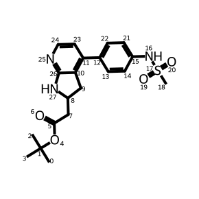 CC(C)(C)OC(=O)CC1Cc2c(-c3ccc(NS(C)(=O)=O)cc3)ccnc2N1